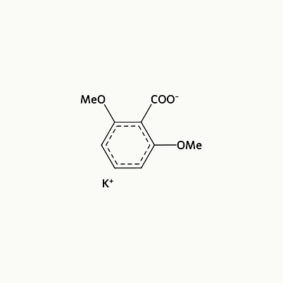 COc1cccc(OC)c1C(=O)[O-].[K+]